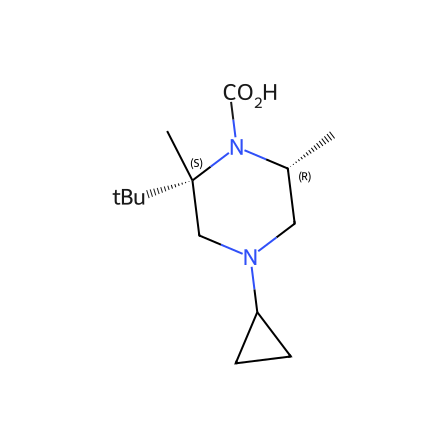 C[C@@H]1CN(C2CC2)C[C@](C)(C(C)(C)C)N1C(=O)O